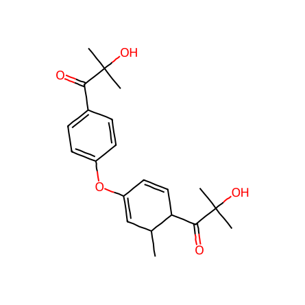 CC1C=C(Oc2ccc(C(=O)C(C)(C)O)cc2)C=CC1C(=O)C(C)(C)O